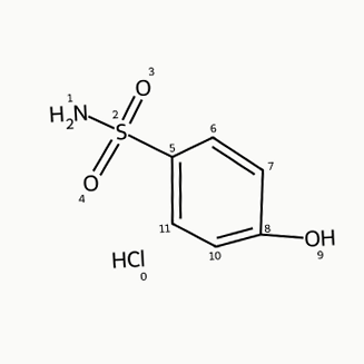 Cl.NS(=O)(=O)c1ccc(O)cc1